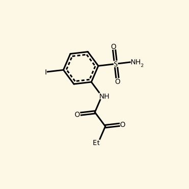 CCC(=O)C(=O)Nc1cc(I)ccc1S(N)(=O)=O